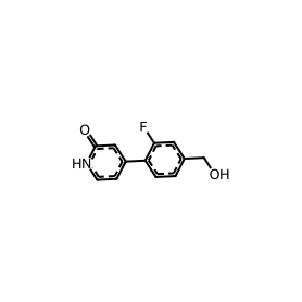 O=c1cc(-c2ccc(CO)cc2F)cc[nH]1